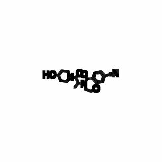 CC(C(=O)N1CCC(O)CC1)N1CCOc2cc(C#N)ccc2C1=O